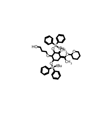 C=C1C(=C(C)OC2CCCCO2)CC(O[Si](c2ccccc2)(c2ccccc2)C(C)(C)C)C(OCCCO)C1O[Si](c1ccccc1)(c1ccccc1)C(C)(C)C